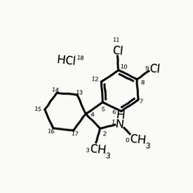 CNC(C)C1(c2ccc(Cl)c(Cl)c2)CCCCC1.Cl